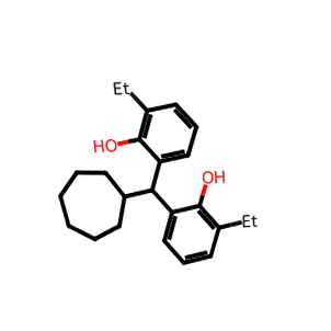 CCc1cccc(C(c2cccc(CC)c2O)C2CCCCCC2)c1O